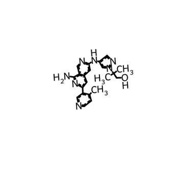 Cc1ccncc1-c1cc2cc(Nc3cnn(C(C)(C)CO)c3)ncc2c(N)n1